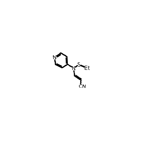 CCSN(C=CC#N)c1ccncc1